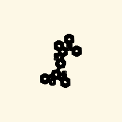 c1ccc(N(c2ccccc2)c2cc3c4ccc(-c5cc6c7ccccc7oc6c6c5sc5ccccc56)cc4sc3c3ccccc23)cc1